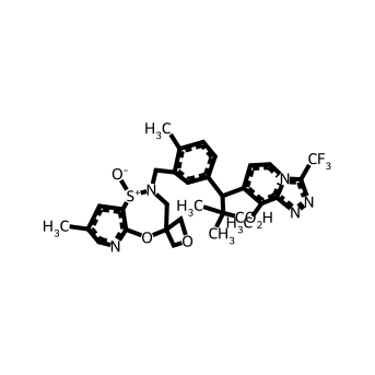 Cc1cnc2c(c1)[S+]([O-])N(Cc1cc(C(c3ccn4c(C(F)(F)F)nnc4c3C)C(C)(C)C(=O)O)ccc1C)CC1(COC1)O2